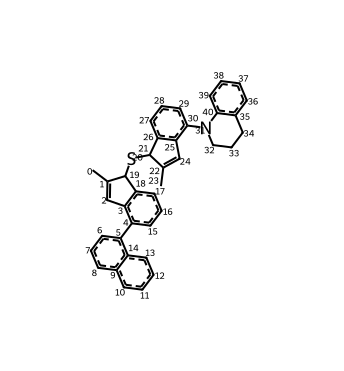 CC1=Cc2c(-c3cccc4ccccc34)cccc2C1SC1C(C)=Cc2c1cccc2N1CCCc2ccccc21